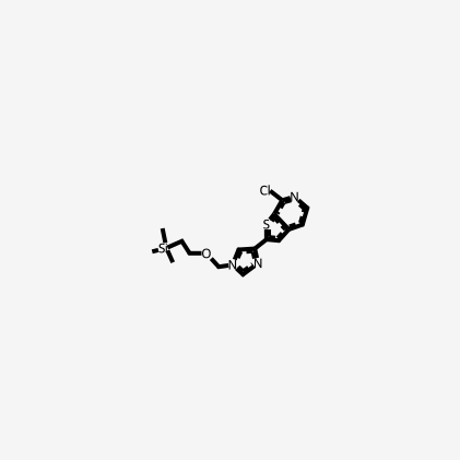 C[Si](C)(C)CCOCn1cnc(-c2cc3ccnc(Cl)c3s2)c1